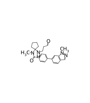 CN(C(=O)c1ccc(-c2ccc3cnn(C)c3c2)cc1)C1(NCCC=O)CCCC1